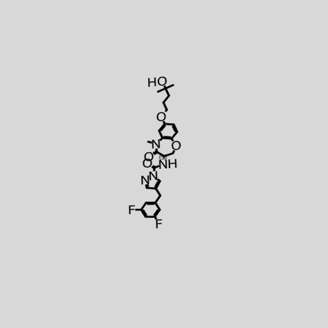 CN1C(=O)[C@@H](NC(=O)n2cc(Cc3cc(F)cc(F)c3)cn2)COc2ccc(OCCCC(C)(C)O)cc21